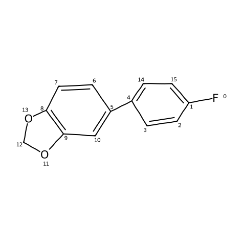 Fc1ccc(-c2ccc3c(c2)OCO3)cc1